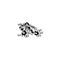 CN(CC(=O)N1C[C@H](O)[C@@H](O)[C@H](O)[C@H]1CO)C(=N)NOC(=O)/C=C\C(=O)ONC(=N)N(C)CC(=O)N1C[C@H](O)[C@@H](O)[C@H](O)[C@H]1CO